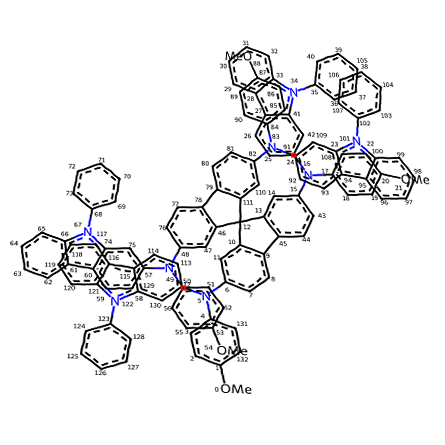 COc1ccc(N(c2ccc3c(c2)C2(c4cc(N(c5ccc(OC)cc5)c5ccc6c7ccccc7n(-c7ccccc7)c6c5)ccc4-3)c3cc(N(c4ccc(OC)cc4)c4ccc5c6ccccc6n(-c6ccccc6)c5c4)ccc3-c3ccc(N(c4ccc(OC)cc4)c4ccc5c6ccccc6n(-c6ccccc6)c5c4)cc32)c2ccc3c4ccccc4n(-c4ccccc4)c3c2)cc1